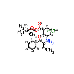 CCC(N)C(Oc1ccccc1C(=O)OOC(C)(C)C)c1ccccc1.Cl